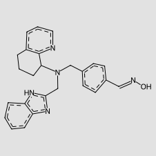 ON=Cc1ccc(CN(Cc2nc3ccccc3[nH]2)C2CCCc3cccnc32)cc1